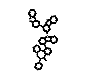 CC1c2cccc(-c3cccc4c3c3ccccc3n4-c3cc(-c4ccc5sc6ccccc6c5c4)c4sc5ccccc5c4c3)c2-c2ccccc2CC1c1ccccc1